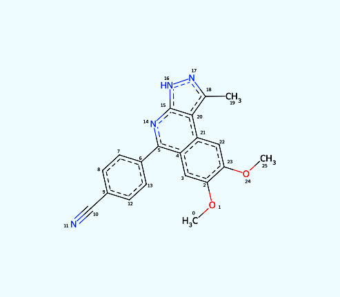 COc1cc2c(-c3ccc(C#N)cc3)nc3[nH]nc(C)c3c2cc1OC